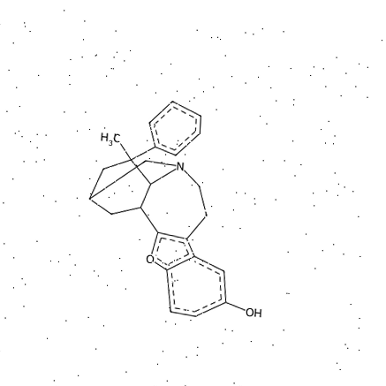 CC1(c2ccccc2)CC2CC3c4oc5ccc(O)cc5c4CCN(C2)C31